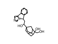 OCC1(O)C2CC3CC1CC(C(O)CC1c4ccccc4-c4cncn41)(C3)C2